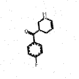 O=C(c1ccc(F)cc1)C1CC=CNC1